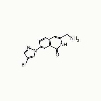 NCc1cc2ccc(-n3cc(Br)cn3)cc2c(=O)[nH]1